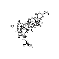 C=C(C)[C@@H]1CC[C@]2(C(=O)NCCC(C)=O)CC[C@]3(C)[C@H](CC[C@@H]4[C@@]5(C)CC=C(c6ccc(C)cc6)C(C)(C)[C@@H]5CC[C@]43C)[C@@H]12